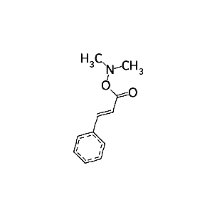 CN(C)OC(=O)/C=C/c1ccccc1